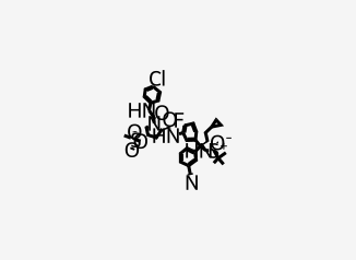 CC(C)(C)[S@@+]([O-])N[C@](CCC1CC1)(c1cccc(C#N)c1)c1ccc(F)c(NC(=O)[C@H]2C[C@@H](OS(C)(=O)=O)CN2C(=O)Nc2ccc(Cl)cc2)c1